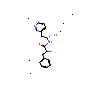 N[C@@H](Cc1ccccc1)C(=O)N[C@@H]([C]=O)Cc1cccnc1